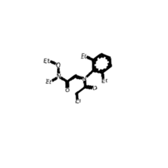 CCON(CC)C(=O)CN(C(=O)CCl)c1c(CC)cccc1CC